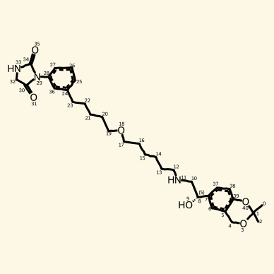 CC1(C)OCc2cc([C@H](O)CNCCCCCCOCCCCCc3cccc(N4C(=O)CNC4=O)c3)ccc2O1